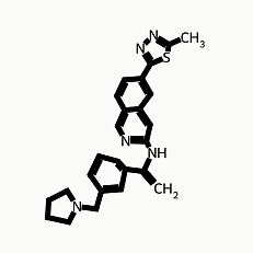 C=C(Nc1cc2cc(-c3nnc(C)s3)ccc2cn1)c1cccc(CN2CCCC2)c1